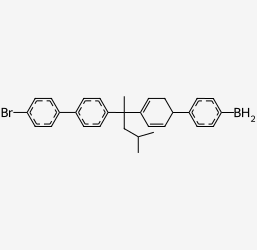 Bc1ccc(C2C=CC(C(C)(CC(C)C)c3ccc(-c4ccc(Br)cc4)cc3)=CC2)cc1